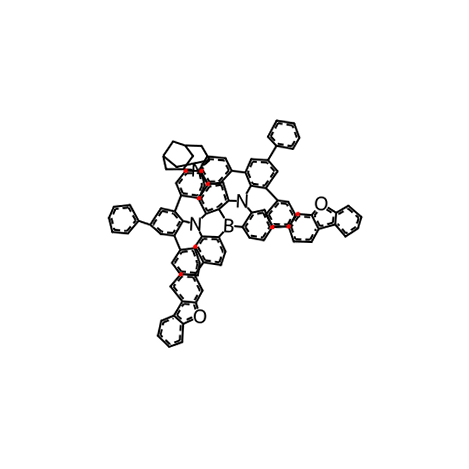 c1ccc(-c2cc(-c3ccccc3)c(N3c4cc(-c5ccc6c(c5)oc5ccccc56)ccc4B4c5ccc(-c6ccc7c(c6)oc6ccccc67)cc5N(c5c(-c6ccccc6)cc(-c6ccccc6)cc5-c5ccccc5)c5cc(N6C7CC8CC(C7)CC6C8)cc3c54)c(-c3ccccc3)c2)cc1